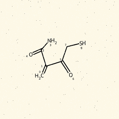 C=C(C(N)=O)C(=O)CS